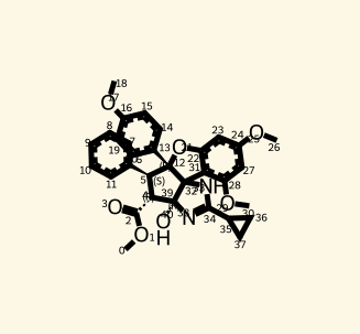 COC(=O)[C@@H]1[C@@H](c2ccccc2)[C@]2(c3ccc(OC)cc3)Oc3cc(OC)cc(OC)c3C23NC(C2CC2)=N[C@@]13O